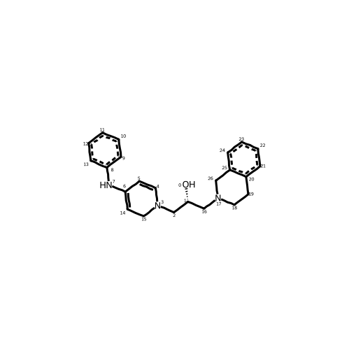 O[C@@H](CN1C=CC(Nc2ccccc2)=CC1)CN1CCc2ccccc2C1